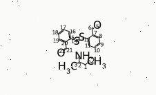 CCC(C)N.O=Cc1ccccc1SSc1ccccc1C=O